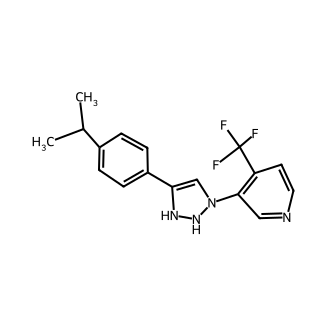 CC(C)c1ccc(C2=CN(c3cnccc3C(F)(F)F)NN2)cc1